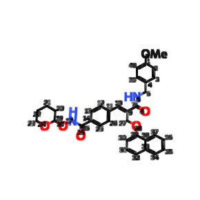 COc1ccc(CNC(=O)/C(=C/c2ccc(C(=O)NOC3CCCCO3)cc2)COc2cccc3ccccc23)cc1